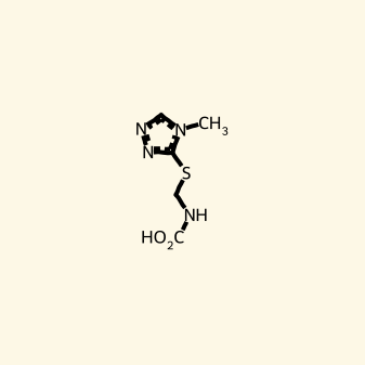 Cn1cnnc1SCNC(=O)O